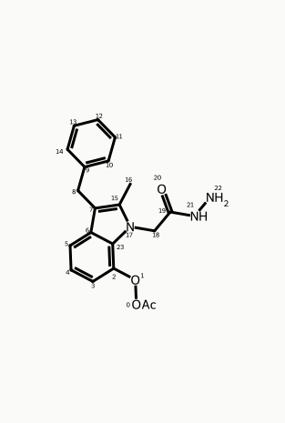 CC(=O)OOc1cccc2c(Cc3ccccc3)c(C)n(CC(=O)NN)c12